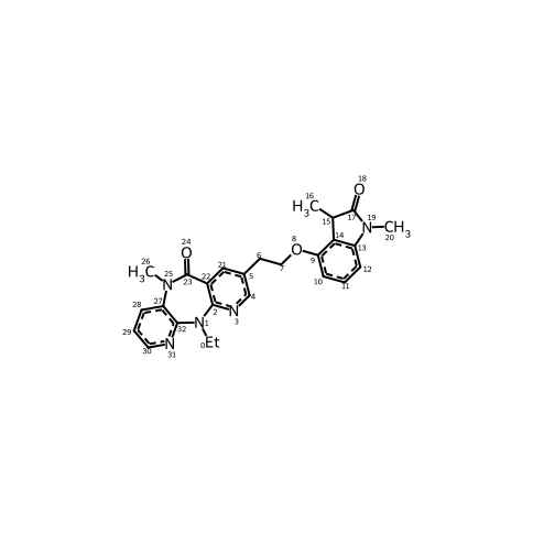 CCN1c2ncc(CCOc3cccc4c3C(C)C(=O)N4C)cc2C(=O)N(C)c2cccnc21